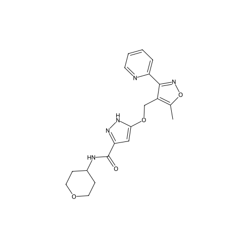 Cc1onc(-c2ccccn2)c1COc1cc(C(=O)NC2CCOCC2)n[nH]1